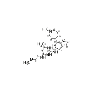 COCCNC1CC(C)NC(Nc2cc3c(c(C4=CCN(C)CCC4)c2)OCC3)N1